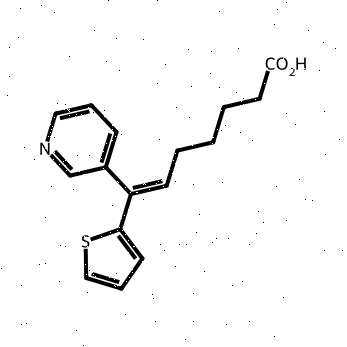 O=C(O)CCCC/C=C(\c1cccnc1)c1cccs1